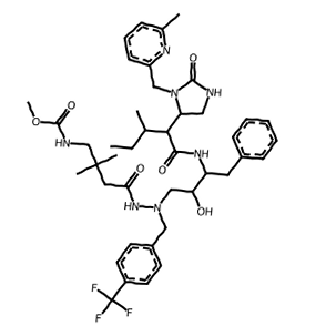 CCC(C)C(C(=O)NC(Cc1ccccc1)C(O)CN(Cc1ccc(C(F)(F)F)cc1)NC(=O)CC(C)(C)CNC(=O)OC)C1CNC(=O)N1Cc1cccc(C)n1